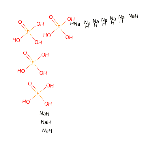 O=P(O)(O)O.O=P(O)(O)O.O=P(O)(O)O.O=P(O)(O)O.[NaH].[NaH].[NaH].[NaH].[NaH].[NaH].[NaH].[NaH].[NaH].[NaH]